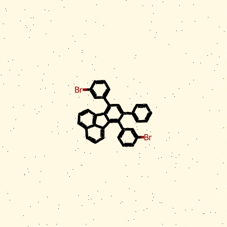 Brc1cccc(-c2cc(-c3ccccc3)c(-c3cccc(Br)c3)c3c2-c2cccc4cccc-3c24)c1